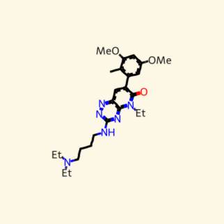 CCN(CC)CCCCNc1nnc2cc(-c3cc(OC)cc(OC)c3C)c(=O)n(CC)c2n1